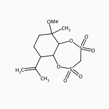 C=C(C)C1CCC(C)(OC)C2OS(=O)(=O)CS(=O)(=O)OC12